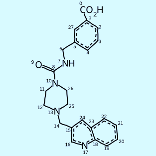 O=C(O)c1cccc(CNC(=O)N2CCN(Cc3cnc4ccccc4c3)CC2)c1